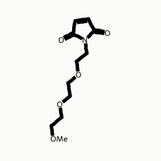 COCCOCCOCCN1C(=O)C=CC1=O